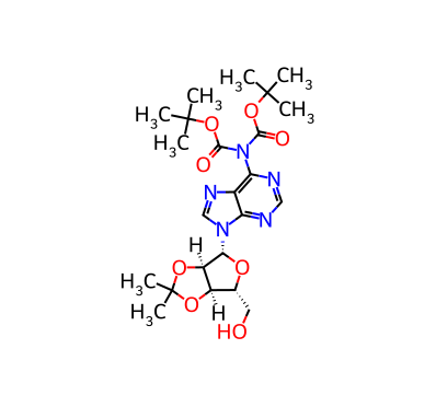 CC(C)(C)OC(=O)N(C(=O)OC(C)(C)C)c1ncnc2c1ncn2[C@@H]1O[C@H](CO)[C@H]2OC(C)(C)O[C@H]21